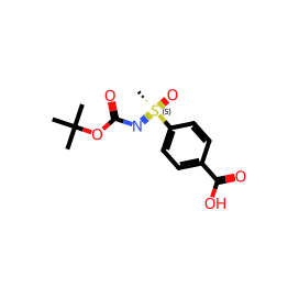 CC(C)(C)OC(=O)N=[S@@](C)(=O)c1ccc(C(=O)O)cc1